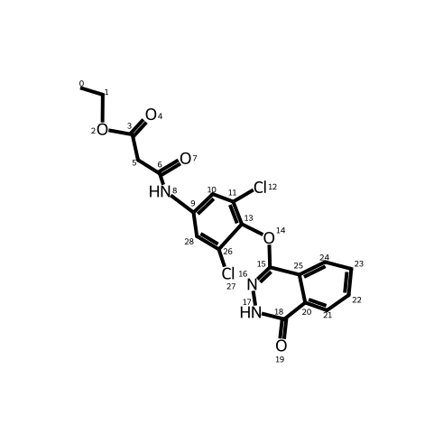 CCOC(=O)CC(=O)Nc1cc(Cl)c(Oc2n[nH]c(=O)c3ccccc23)c(Cl)c1